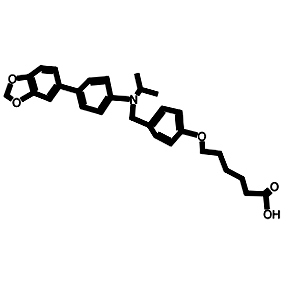 CC(C)N(Cc1ccc(OCCCCCC(=O)O)cc1)c1ccc(-c2ccc3c(c2)OCO3)cc1